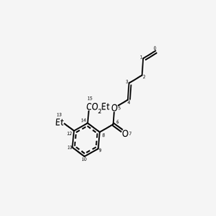 C=CCC=COC(=O)c1cccc(CC)c1C(=O)OCC